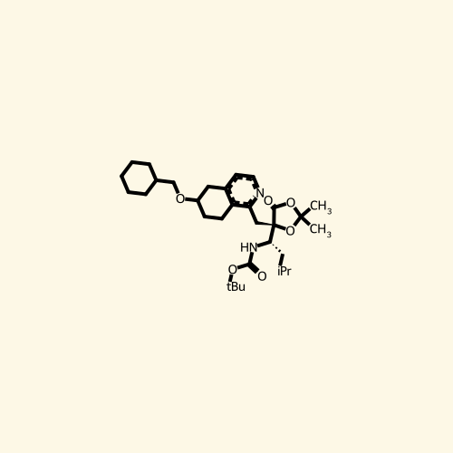 CC(C)C[C@H](NC(=O)OC(C)(C)C)[C@@]1(Cc2nccc3c2CCC(OCC2CCCCC2)C3)OC(C)(C)OC1=O